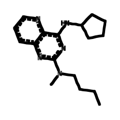 CCCCN(C)c1nc(NC2CCCC2)c2ncccc2n1